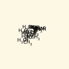 C/C1=C/C=C/C(C)[C@H](O)[C@@H](C)C(O)[C@@H](C)[C@H](OC(=O)CC(=O)N2CCCN(c3ccccn3)CC2)CC/C=C/O[C@@]2(C)Oc3c(C)c(O)c4c(c3C2=O)C2=NC3(CCN(CC(C)C)CC3)NC2=C(NC1=O)C4=O